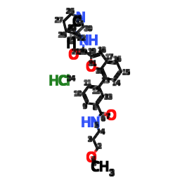 COCCCNC(=O)c1cccc(-c2cccc3cc(C(=O)N[C@@H]4CN5CCC4CC5)oc23)c1.Cl